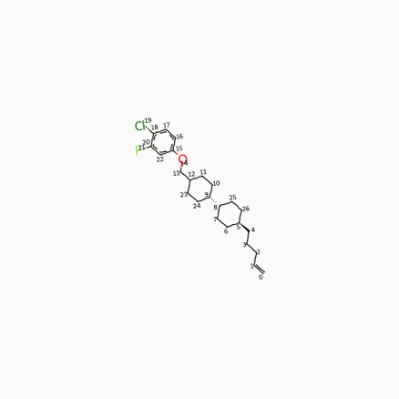 C=CCCC[C@H]1CC[C@H](C2CCC(COc3ccc(Cl)c(F)c3)CC2)CC1